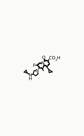 Cc1c(N2CCC(NC3CC3)C2)c(F)cn2c(=O)c(C(=O)O)cc(C3CC3)c12